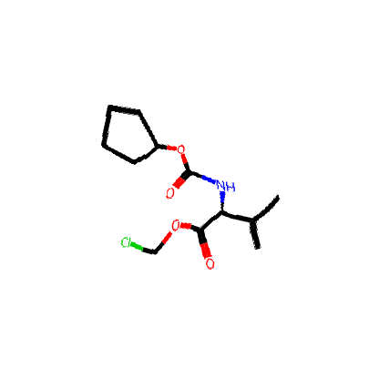 CC(C)[C@H](NC(=O)OC1CCCC1)C(=O)OCCl